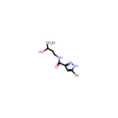 CCOC(=O)C(O)CCNC(=O)c1cc(C(C)=O)[nH]n1